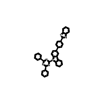 c1ccc(-c2nc(-c3ccccc3)nc(-n3c4ccccc4c4cc(-c5ccc(-c6nc7ccccc7s6)cc5)ccc43)n2)cc1